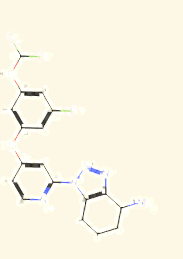 NC1CCCc2c1nnn2-c1cc(Oc2cc(F)cc(OC(F)F)c2)ccn1